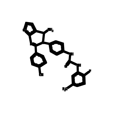 N#Cc1ccc(C2=Nc3occc3C(N)N2c2ccc(NC(=O)Nc3cc(C(F)(F)F)ccc3F)cc2)cc1